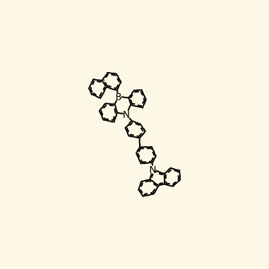 c1ccc2c(c1)B(c1cccc3ccccc13)c1ccccc1N2c1ccc(-c2ccc(-n3c4ccccc4c4ccccc43)cc2)cc1